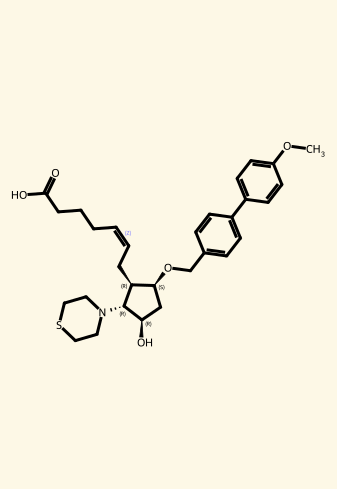 COc1ccc(-c2ccc(CO[C@H]3C[C@@H](O)[C@H](N4CCSCC4)[C@H]3C/C=C\CCCC(=O)O)cc2)cc1